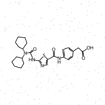 O=C(O)Cc1ccc(NC(=O)c2cnc(NC(=O)N(C3CCCCC3)C3CCCCC3)s2)cc1